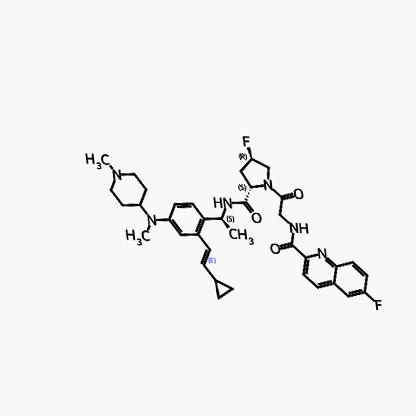 C[C@H](NC(=O)[C@@H]1C[C@@H](F)CN1C(=O)CNC(=O)c1ccc2cc(F)ccc2n1)c1ccc(N(C)C2CCN(C)CC2)cc1/C=C/C1CC1